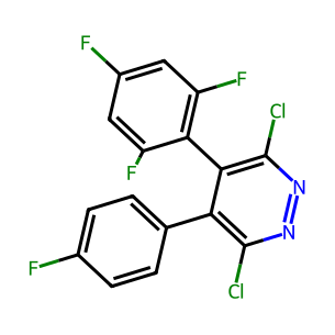 Fc1ccc(-c2c(Cl)nnc(Cl)c2-c2c(F)cc(F)cc2F)cc1